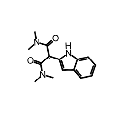 CN(C)C(=O)[C](C(=O)N(C)C)c1cc2ccccc2[nH]1